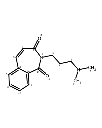 CN(C)CCCn1c(=O)ccc2ccccc2c1=O